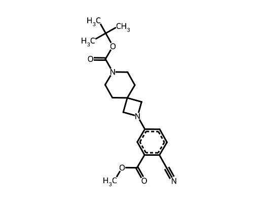 COC(=O)c1cc(N2CC3(CCN(C(=O)OC(C)(C)C)CC3)C2)ccc1C#N